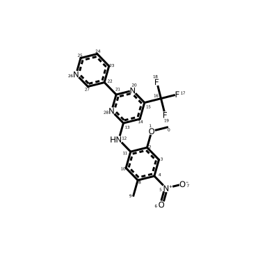 COc1cc([N+](=O)[O-])c(C)cc1Nc1cc(C(F)(F)F)nc(-c2cccnc2)n1